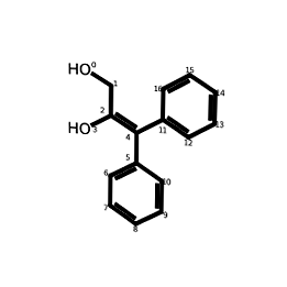 OCC(O)=C(c1ccccc1)c1ccccc1